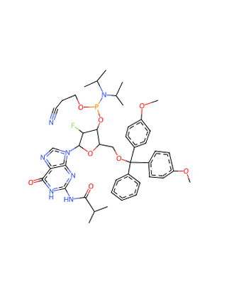 COc1ccc(C(OCC2OC(n3cnc4c(=O)[nH]c(NC(=O)C(C)C)nc43)C(F)C2OP(OCCC#N)N(C(C)C)C(C)C)(c2ccccc2)c2ccc(OC)cc2)cc1